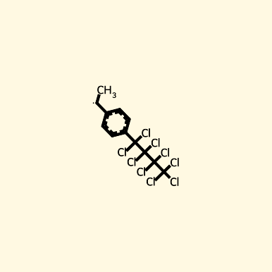 C[CH]c1ccc(C(Cl)(Cl)C(Cl)(Cl)C(Cl)(Cl)C(Cl)(Cl)Cl)cc1